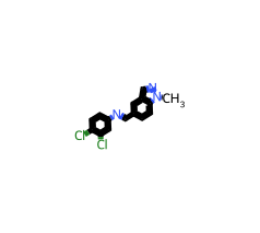 Cn1ncc2cc(C=Nc3ccc(Cl)c(Cl)c3)ccc21